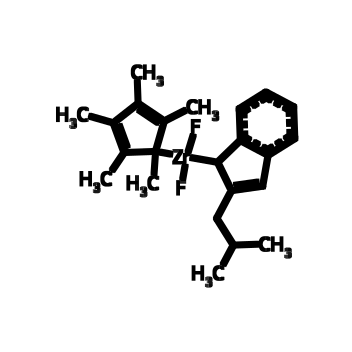 CC1=C(C)[C](C)([Zr]([F])([F])[CH]2C(CC(C)C)=Cc3ccccc32)C(C)=C1C